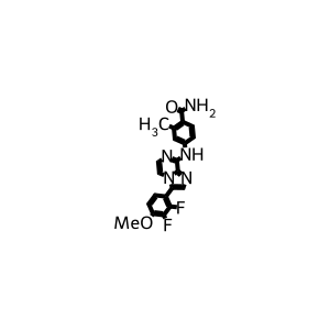 COc1ccc(-c2cnc3c(Nc4ccc(C(N)=O)c(C)c4)nccn23)c(F)c1F